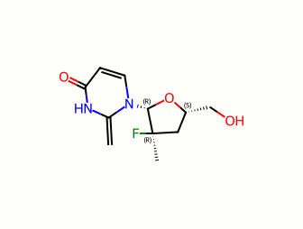 C=C1NC(=O)C=CN1[C@@H]1O[C@H](CO)C[C@@]1(C)F